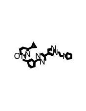 O=c1ccc(C2CC2)nn1Cc1cccc(-c2ncc(-c3cnn(CCN4CCCC4)c3)cn2)c1